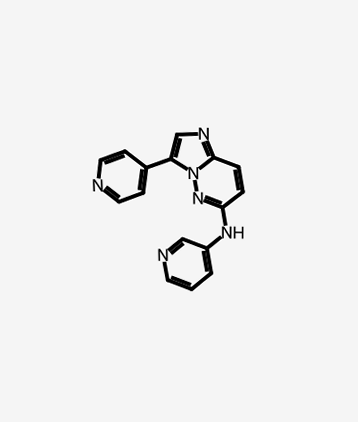 c1cncc(Nc2ccc3ncc(-c4ccncc4)n3n2)c1